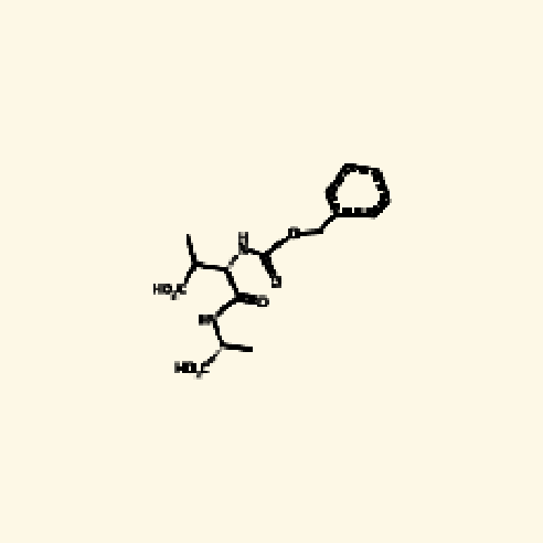 CC(C(=O)O)[C@H](NC(=O)OCc1ccccc1)C(=O)N[C@H](C)C(=O)O